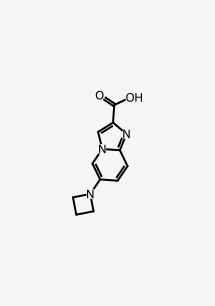 O=C(O)c1cn2cc(N3CCC3)ccc2n1